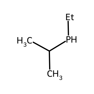 CCPC(C)C